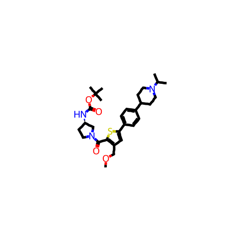 COCc1cc(-c2ccc(C3CCN(C(C)C)CC3)cc2)sc1C(=O)N1CC[C@H](NC(=O)OC(C)(C)C)C1